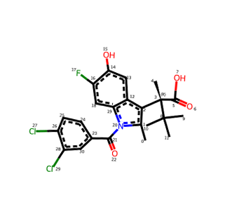 Cc1c([C@](C)(C(=O)O)C(C)(C)C)c2cc(O)c(F)cc2n1C(=O)c1ccc(Cl)c(Cl)c1